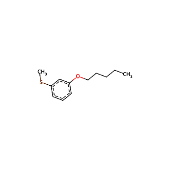 CCCCCOc1cccc(SC)c1